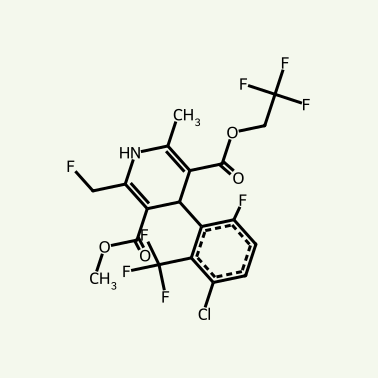 COC(=O)C1=C(CF)NC(C)=C(C(=O)OCC(F)(F)F)C1c1c(F)ccc(Cl)c1C(F)(F)F